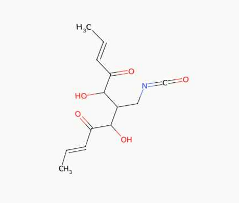 CC=CC(=O)C(O)C(CN=C=O)C(O)C(=O)C=CC